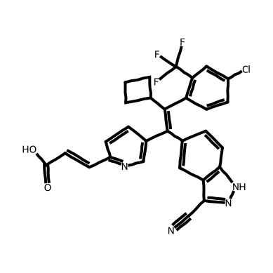 N#Cc1n[nH]c2ccc(C(=C(c3ccc(Cl)cc3C(F)(F)F)C3CCC3)c3ccc(C=CC(=O)O)nc3)cc12